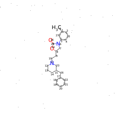 Cc1cccc(N2CC(CCN3CCCC(Cc4ccccc4)C3)OC2=O)c1